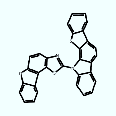 c1ccc2c(c1)oc1ccc3nc(-n4c5ccccc5c5ccc6c7ccccc7sc6c54)sc3c12